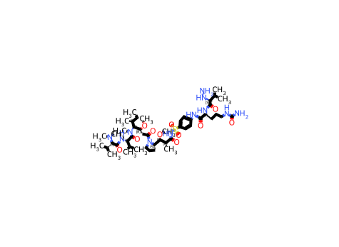 CC[C@H](C)[C@@H]([C@@H](CC(=O)N1CCC[C@H]1[C@H](OC)[C@@H](C)C(=O)NS(=O)(=O)c1ccc(NC(=O)[C@H](CCCNC(N)=O)NC(=O)[C@@H](NN)C(C)C)cc1)OC)N(C)C(=O)[C@@H](NC(=O)[C@H](C(C)C)N(C)C)C(C)C